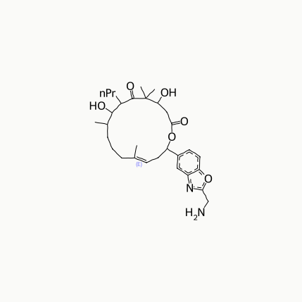 CCCC1C(=O)C(C)(C)C(O)CC(=O)OC(c2ccc3oc(CN)nc3c2)C/C=C(\C)CCCC(C)C1O